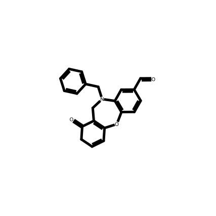 O=Cc1ccc2c(c1)N(Cc1ccccc1)CC1=C(C=CCC1=O)O2